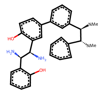 CN[C@H](c1ccccc1)[C@H](NC)c1cccc(-c2ccc(O)c([C@@H](N)[C@H](N)c3ccccc3O)c2)c1